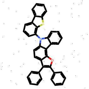 c1ccc(-c2oc3c(ccc4c3c3ccccc3n4-c3cccc4c3sc3ccccc34)c2-c2ccccc2)cc1